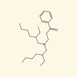 CCCCC(CC)CN(CCC(=O)c1ccccc1)CC(CC)CCCC